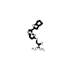 CN(C)C(=O)COc1ccc2ncc(-c3cc4ccccc4o3)n2n1